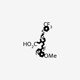 COc1ccc2nccc([C@@H](F)CCC3CCN(CCSc4cccc(C(F)(F)F)c4)CC3CCC(=O)O)c2c1